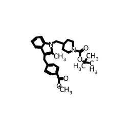 COC(=O)c1ccc(Cc2c(C)n(CC3CCN(C(=O)OC(C)(C)C)CC3)c3ccccc23)cc1